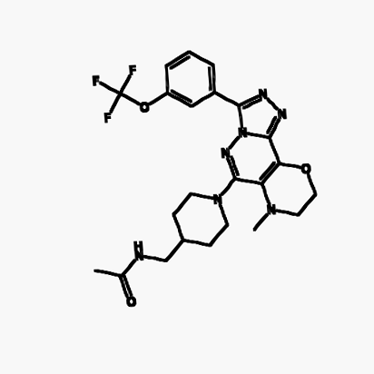 CC(=O)NCC1CCN(c2nn3c(-c4cccc(OC(F)(F)F)c4)nnc3c3c2N(C)CCO3)CC1